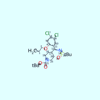 C=CCOc1cc(Cl)c(Cl)cc1C(=N[S@@+]([O-])C(C)(C)C)C1CCN(C(=O)OC(C)(C)C)CC1